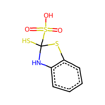 O=S(=O)(O)C1(S)Nc2ccccc2S1